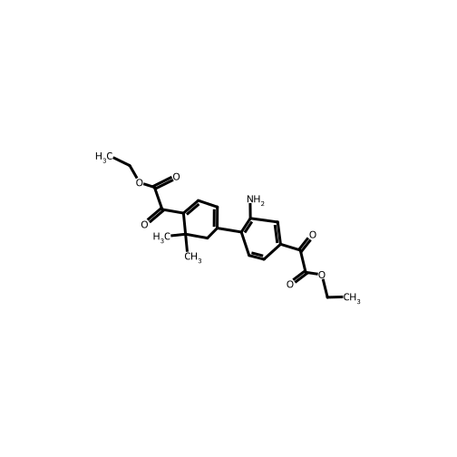 CCOC(=O)C(=O)C1=CC=C(c2ccc(C(=O)C(=O)OCC)cc2N)CC1(C)C